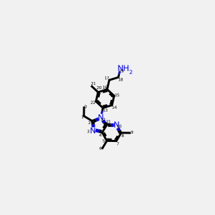 CCc1nc2c(C)cc(C)nc2n1-c1ccc(CCN)c(C)c1